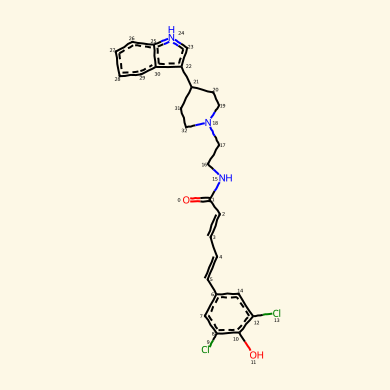 O=C(C=CC=Cc1cc(Cl)c(O)c(Cl)c1)NCCN1CCC(c2c[nH]c3ccccc23)CC1